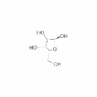 OC[C@H]1O[C@H](O)C(O)[C@H]1O